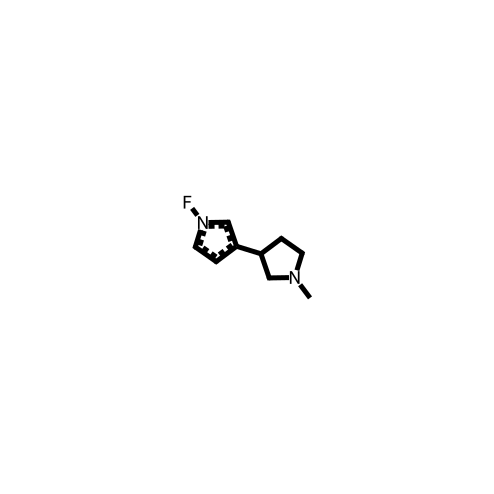 CN1CCC(c2ccn(F)c2)C1